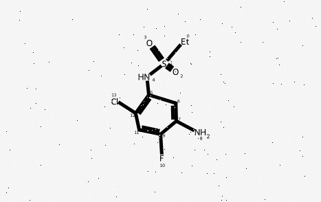 CCS(=O)(=O)Nc1cc(N)c(F)cc1Cl